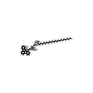 CCCCCCCCCCCCCCCCCCCCCCCC(=O)O[C@@H](CO)COP(=O)(O)OCCNC(c1ccccc1)(c1ccccc1)c1ccccc1